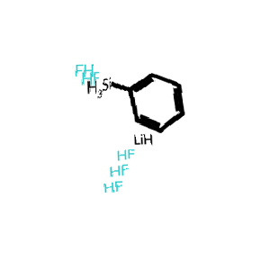 F.F.F.F.F.[LiH].[SiH3]c1ccccc1